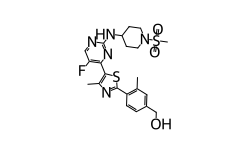 Cc1cc(CO)ccc1-c1nc(C)c(-c2nc(NC3CCN(S(C)(=O)=O)CC3)ncc2F)s1